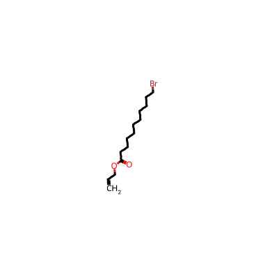 C=CCOC(=O)CCCCCCCCCCBr